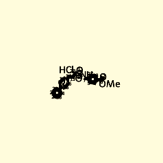 COC(=O)c1ccc(CNS(=O)(=O)CCCN2CCN(c3ccccc3)CC2)cc1.Cl